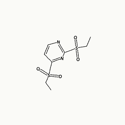 CCS(=O)(=O)c1ccnc(S(=O)(=O)CC)n1